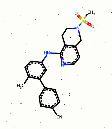 Cc1ccc(Nc2nccc3c2CCN(S(C)(=O)=O)C3)cc1-c1ccc(C#N)cc1